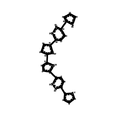 c1csc(-c2ccc(-c3ccc(-c4ccc(-c5ccc(-c6cccs6)nn5)s4)s3)nn2)c1